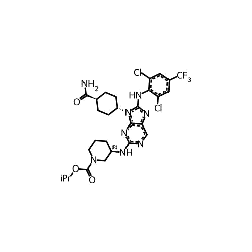 CC(C)OC(=O)N1CCC[C@@H](Nc2ncc3nc(Nc4c(Cl)cc(C(F)(F)F)cc4Cl)n([C@H]4CC[C@H](C(N)=O)CC4)c3n2)C1